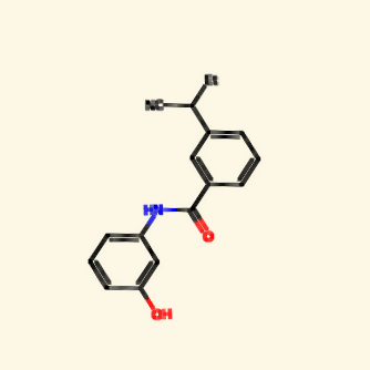 CCC(C#N)c1cccc(C(=O)Nc2cccc(O)c2)c1